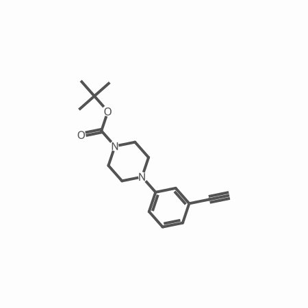 C#Cc1cccc(N2CCN(C(=O)OC(C)(C)C)CC2)c1